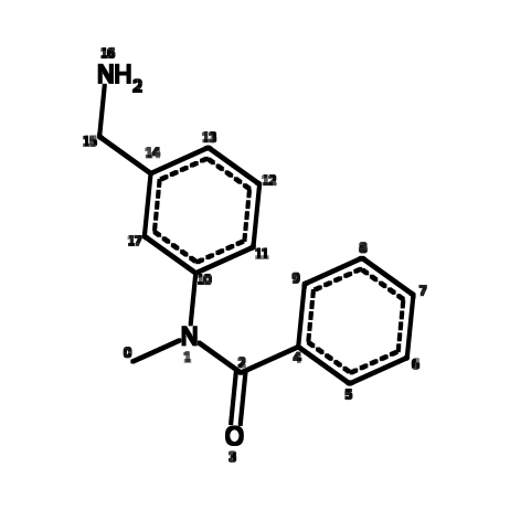 CN(C(=O)c1ccccc1)c1cccc(CN)c1